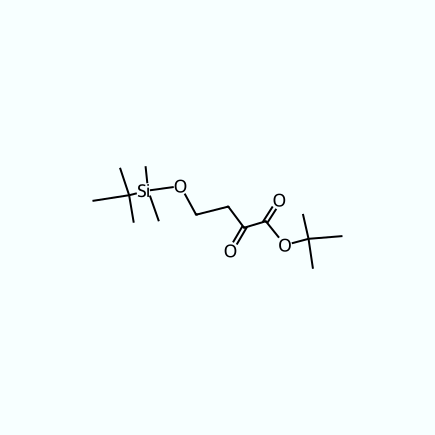 CC(C)(C)OC(=O)C(=O)CCO[Si](C)(C)C(C)(C)C